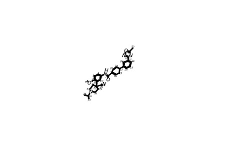 COc1ccc(NC(=O)C2=CCC(c3cccc(-c4noc(C)n4)c3)C=C2)cc1C1(C#N)CCN(C(C)C)CC1